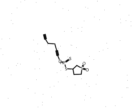 C#CCCC#CO[PH](=S)SC1CCS(=O)(=O)C1